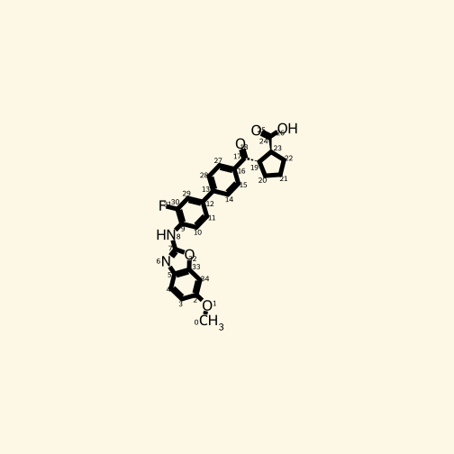 COc1ccc2nc(Nc3ccc(-c4ccc(C(=O)[C@H]5CCC[C@@H]5C(=O)O)cc4)cc3F)oc2c1